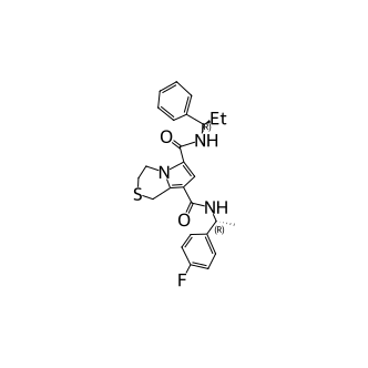 CC[C@@H](NC(=O)c1cc(C(=O)N[C@H](C)c2ccc(F)cc2)c2n1CCSC2)c1ccccc1